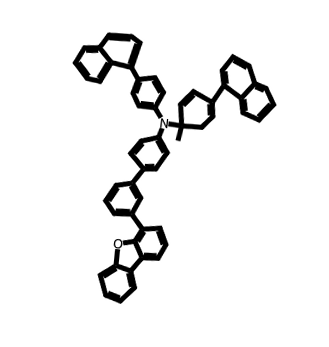 CC1(N(c2ccc(-c3cccc(-c4cccc5c4oc4ccccc45)c3)cc2)c2ccc(-c3cccc4ccccc34)cc2)C=CC(c2cccc3ccccc23)=CC1